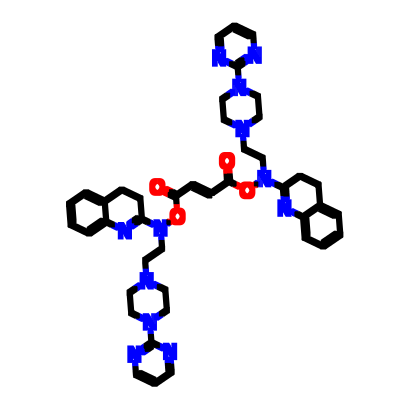 O=C(/C=C/C(=O)ON(CCN1CCN(c2ncccn2)CC1)C1=Nc2ccccc2CC1)ON(CCN1CCN(c2ncccn2)CC1)C1=Nc2ccccc2CC1